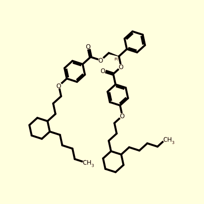 CCCCCC1CCCCC1CCCOc1ccc(C(=O)OC[C@H](OC(=O)c2ccc(OCCCC3CCCCC3CCCCC)cc2)c2ccccc2)cc1